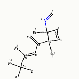 C=NC1(CC)C=CC1(CC)C(=C)/C=C(\CC)C(C)(C)C(C)C